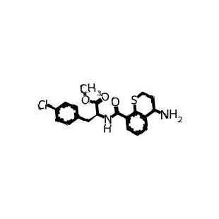 COC(=O)[C@H](Cc1ccc(Cl)cc1)NC(=O)c1cccc2c1SCCC2N